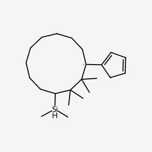 C[SiH](C)C1CCCCCCCC[C](C2=CC=CC2)C(C)(C)C1(C)C